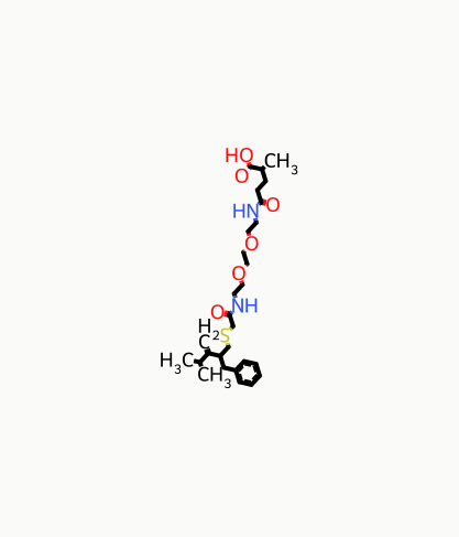 C=C(C(C)C)C(CSCC(=O)NCCOCCOCCNC(=O)CCC(C)C(=O)O)Cc1ccccc1